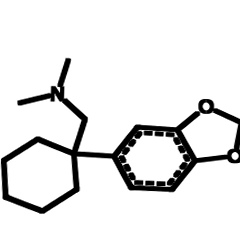 CN(C)CC1(c2ccc3c(c2)OCO3)CCCCC1